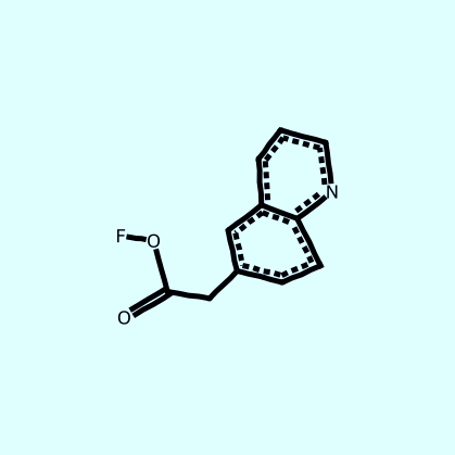 O=C(Cc1ccc2ncccc2c1)OF